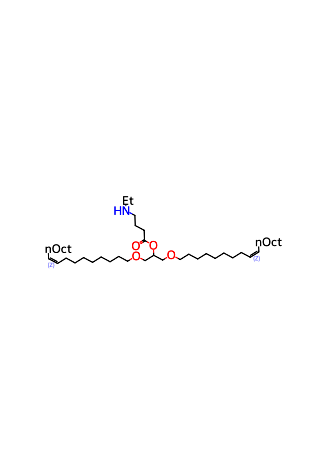 CCCCCCCC/C=C\CCCCCCCCOCC(COCCCCCCCC/C=C\CCCCCCCC)OC(=O)CCCNCC